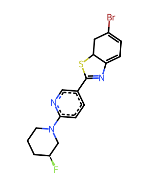 F[C@H]1CCCN(c2ccc(C3=NC4=CC=C(Br)CC4S3)cn2)C1